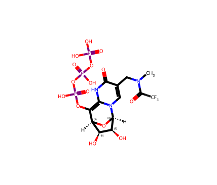 CN(CC1=CN2C(=C(OP(=O)(O)OP(=O)(O)OP(=O)(O)O)[C@H]3O[C@@H]2[C@@H](O)[C@H]3O)NC1=O)C(=O)C(F)(F)F